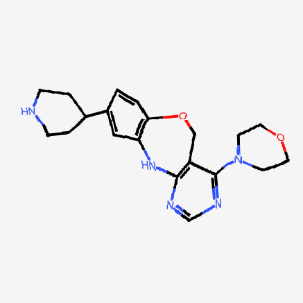 c1nc2c(c(N3CCOCC3)n1)COc1ccc(C3CCNCC3)cc1N2